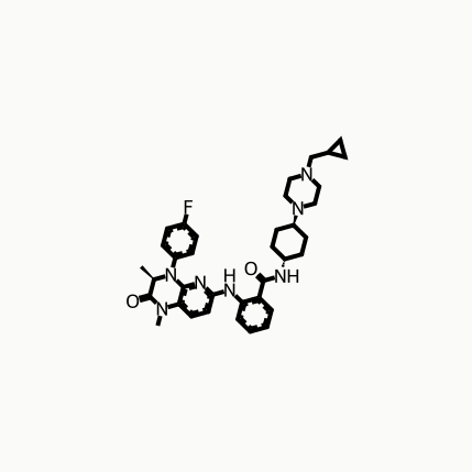 C[C@@H]1C(=O)N(C)c2ccc(Nc3ccccc3C(=O)N[C@H]3CC[C@H](N4CCN(CC5CC5)CC4)CC3)nc2N1c1ccc(F)cc1